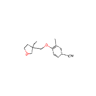 Cc1cc(C#N)ccc1OCC1(C)CCOC1